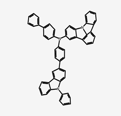 c1ccc(-c2ccc(N(c3ccc(-c4ccc5c(c4)c4ccccc4n5-c4ccccc4)cc3)c3ccc4c(c3)c3cccc5c6ccccc6n4c53)cc2)cc1